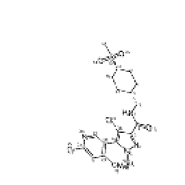 CCn1nc(C(=O)NC[C@H]2CC[C@H](S(C)(=O)=O)CC2)c(Cl)c1-c1cnc(Cl)cc1OC